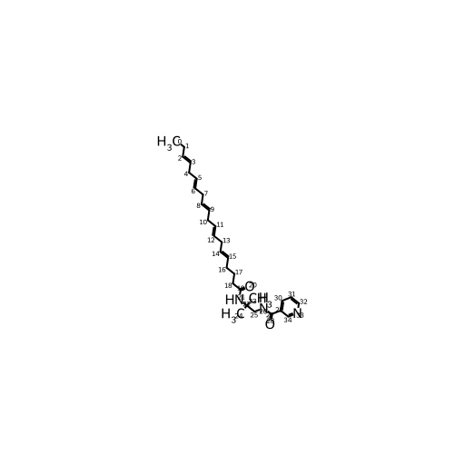 CCC=CCC=CCC=CCC=CCC=CCCCC(=O)NC(C)(C)CNC(=O)c1cccnc1